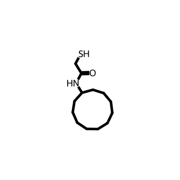 O=C(CS)NC1CCCCCCCCCC1